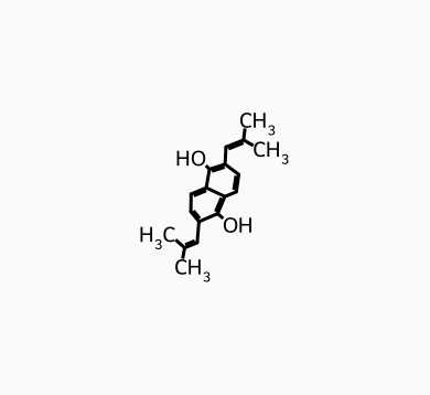 CC(C)=Cc1ccc2c(O)c(C=C(C)C)ccc2c1O